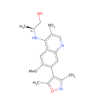 COc1cc2c(N[C@@H](C)CO)c([N+](=O)[O-])cnc2cc1-c1c(C)noc1C